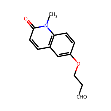 Cn1c(=O)ccc2cc(OCCC=O)ccc21